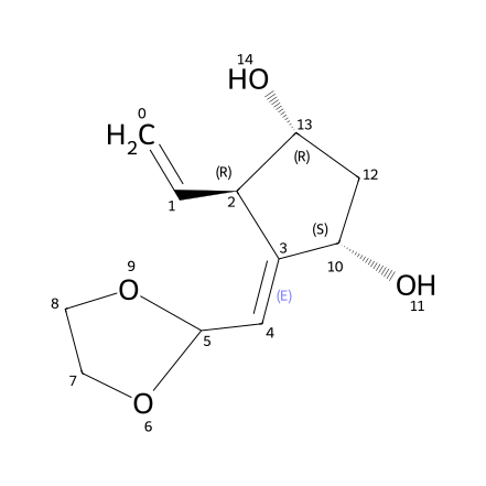 C=C[C@@H]1/C(=C\C2OCCO2)[C@@H](O)C[C@H]1O